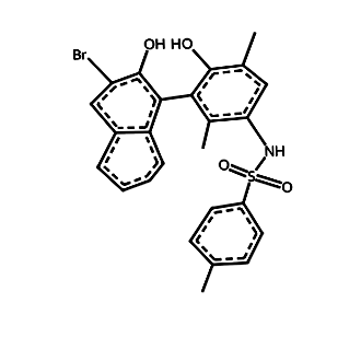 Cc1ccc(S(=O)(=O)Nc2cc(C)c(O)c(-c3c(O)c(Br)cc4ccccc34)c2C)cc1